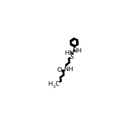 CCCCC(=O)NCCCSNNc1ccccc1